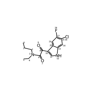 CCCN(CC)C(=O)C(=O)c1c[nH]c2cc(Cl)c(F)cc12